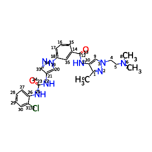 Cc1nn(CCN(C)C)cc1NC(=O)c1cccc(-n2cc(NC(=O)Nc3ccccc3Cl)cn2)c1